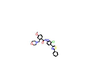 COc1ccc(C(=O)Nc2ccc(-c3csc(-c4ccccc4)n3)c(Cl)c2)c(CN2CCOCC2)c1